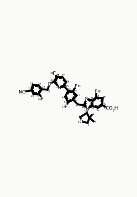 CC1(C)COC[C@H]1n1c(Cc2cc(F)c(-c3ccc(F)c(OCc4ccc(C#N)cc4F)n3)cc2F)nc2c(F)cc(C(=O)O)cc21